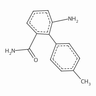 Cc1ccc(-c2c(N)cccc2C(N)=O)cc1